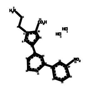 Cl.Cl.NCCn1nc(-c2ccnc(-c3cccc([N+](=O)[O-])c3)c2)cc1C(=O)O